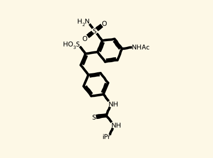 CC(=O)Nc1ccc(/C(=C\c2ccc(NC(=S)NC(C)C)cc2)S(=O)(=O)O)c(S(N)(=O)=O)c1